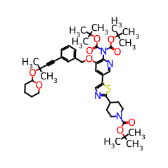 CC(C)(C)OC(=O)N1CCC(c2ncc(-c3cnc(N(C(=O)OC(C)(C)C)C(=O)OC(C)(C)C)c(OCc4cccc(C#CC(C)(C)OC5CCCCO5)c4)c3)s2)CC1